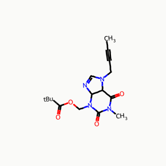 CC#CCN1C=NC2C1C(=O)N(C)C(=O)N2COC(=O)C(C)(C)C